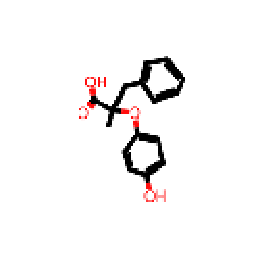 CC(Cc1ccccc1)(Oc1ccc(O)cc1)C(=O)O